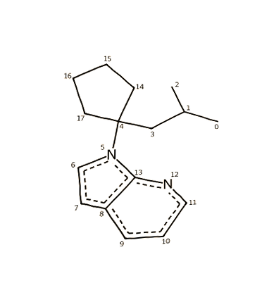 CC(C)CC1(n2ccc3cccnc32)CCCC1